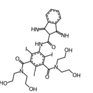 N=C1c2ccccc2C(=N)C1C(=O)Nc1c(I)c(C(=O)N(CCO)CCO)c(I)c(C(=O)N(CCO)CCO)c1I